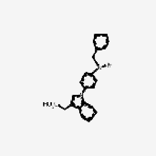 CC(C)N(Cc1ccccc1)c1ccc(-n2cc(CC(=O)O)c3ccccc32)cc1